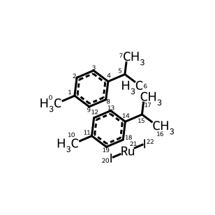 Cc1ccc(C(C)C)cc1.Cc1ccc(C(C)C)cc1.[I][Ru][I]